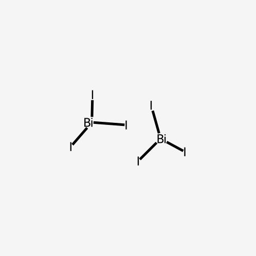 [I][Bi]([I])[I].[I][Bi]([I])[I]